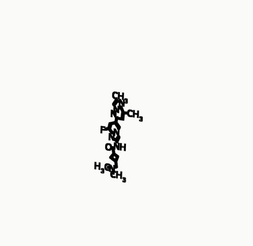 Cc1cn2nc(-c3cc(F)c4nc(NC(=O)C5CC(CN(C)C)C5)cn4c3)cc(C)c2n1